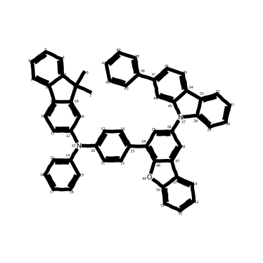 CC1(C)c2ccccc2-c2ccc(N(c3ccccc3)c3ccc(-c4cc(-n5c6ccccc6c6ccc(-c7ccccc7)cc65)cc5c4oc4ccccc45)cc3)cc21